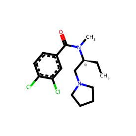 CC[C@@H](CN1CCCC1)N(C)C(=O)c1ccc(Cl)c(Cl)c1